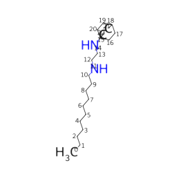 CCCCCCCCCCCNCCNC12CCC(CC1)CC2